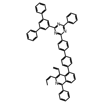 C=Cc1c(/C=C\C)nc(-c2ccccc2)c2cccc(-c3ccc(-c4ccc(-c5nc(-c6ccccc6)nc(-c6cc(-c7ccccc7)cc(-c7ccccc7)c6)n5)cc4)cc3)c12